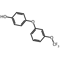 Oc1ccc(Oc2cccc(OC(F)(F)F)c2)cc1